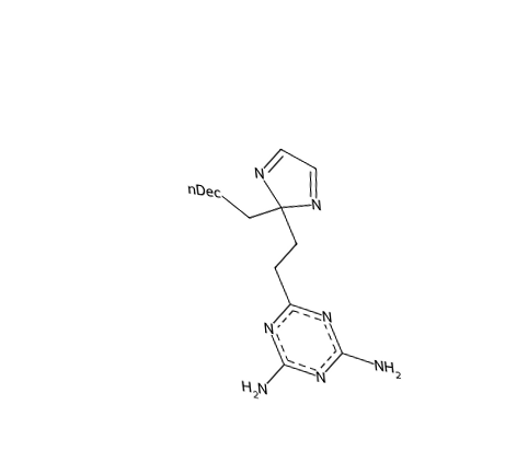 CCCCCCCCCCCC1(CCc2nc(N)nc(N)n2)N=CC=N1